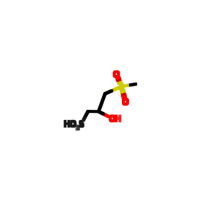 CS(=O)(=O)CC(O)CS(=O)(=O)O